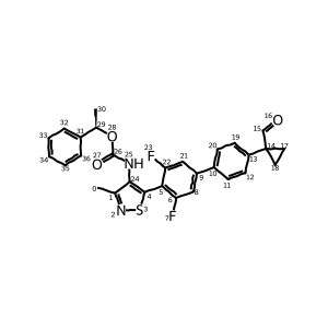 Cc1nsc(-c2c(F)cc(-c3ccc(C4(C=O)CC4)cc3)cc2F)c1NC(=O)O[C@H](C)c1ccccc1